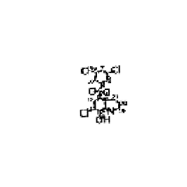 O=S(=O)(c1cc(Cl)cc(Cl)c1)c1cc(Cl)c(O)c2ncccc12